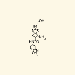 Cc1nc2cc(NC(=O)c3sc4nc(NCCO)sc4c3N)ccc2o1